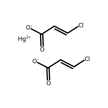 O=C([O-])C=CCl.O=C([O-])C=CCl.[Hg+2]